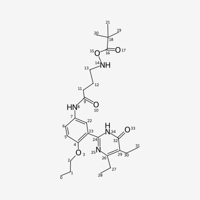 CCCOc1ccc(NC(=O)CCCNOC(=O)C(C)(C)C)cc1-c1nc(CC)c(CC)c(=O)[nH]1